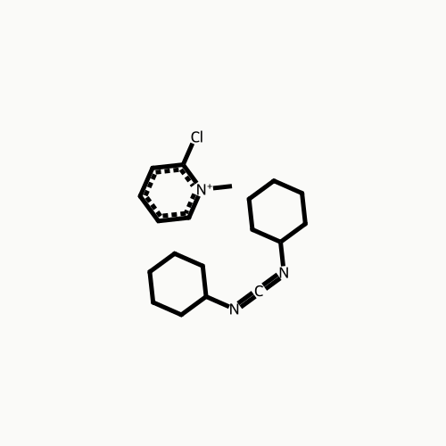 C(=NC1CCCCC1)=NC1CCCCC1.C[n+]1ccccc1Cl